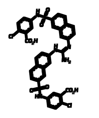 NC(=Nc1ccc2ccc(S(=O)(=O)Nc3ccc(Cl)c(C(=O)O)c3)cc2c1)Nc1ccc2ccc(S(=O)(=O)Nc3ccc(Cl)c(C(=O)O)c3)cc2c1